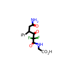 CC(C)C(CC(N)=O)C(=O)C(F)(F)C(=O)NCC(=O)O